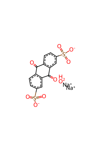 O.O=C1c2ccc(S(=O)(=O)[O-])cc2C(=O)c2cc(S(=O)(=O)[O-])ccc21.[Na+].[Na+]